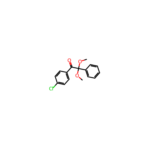 COC(OC)(C(=O)c1ccc(Cl)cc1)c1ccccc1